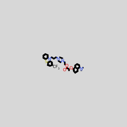 CC(Oc1cccc2c(N(C)C)cccc12)C(=O)OCCN1CCN(CCCN2c3ccccc3Sc3ccc(C(F)(F)F)cc32)CC1